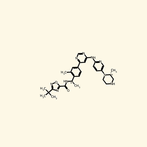 Cc1cc(-c2cc(Nc3ccc(N4CCNC[C@H]4C)cn3)ncn2)ccc1[C@@H](C)NC(=O)c1nc(C(C)(C)C)no1